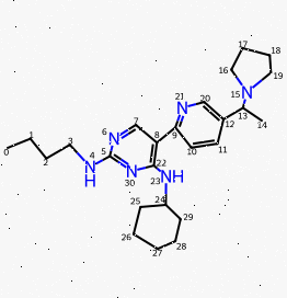 CCCCNc1ncc(-c2ccc(C(C)N3CCCC3)cn2)c(NC2CCCCC2)n1